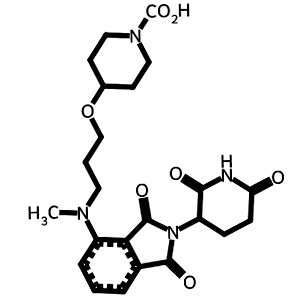 CN(CCCOC1CCN(C(=O)O)CC1)c1cccc2c1C(=O)N(C1CCC(=O)NC1=O)C2=O